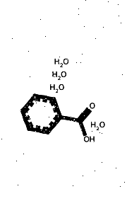 O.O.O.O.O=C(O)c1ccccc1